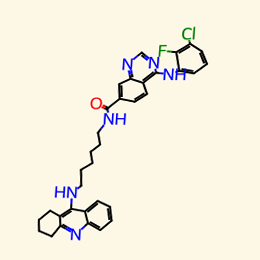 O=C(NCCCCCCNc1c2c(nc3ccccc13)CCCC2)c1ccc2c(Nc3cccc(Cl)c3F)ncnc2c1